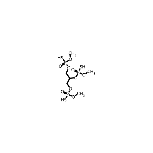 COP(=O)(S)OCC(COP(=O)(S)OC)OP(=O)(S)OC